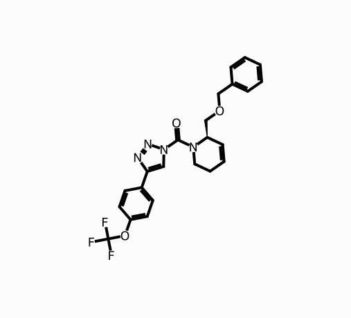 O=C(N1CCC=C[C@@H]1COCc1ccccc1)n1cc(-c2ccc(OC(F)(F)F)cc2)nn1